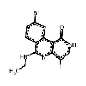 CCNc1nc2c(I)c[nH]c(=O)c2c2cc(Br)ccc12